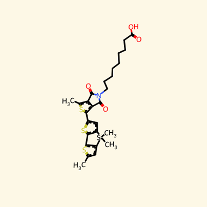 Cc1cc2c(s1)-c1sc(-c3sc(C)c4c3C(=O)N(CCCCCCCCC(=O)O)C4=O)cc1[Si]2(C)C